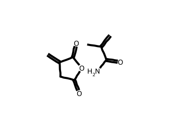 C=C(C)C(N)=O.C=C1CC(=O)OC1=O